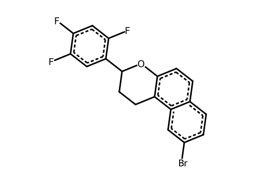 Fc1cc(F)c(C2CCc3c(ccc4ccc(Br)cc34)O2)cc1F